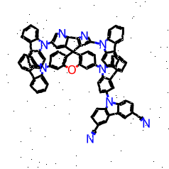 N#Cc1ccc2c(c1)c1cc(C#N)ccc1n2-c1ccc2c(c1)c1ccccc1n2-c1ccc2c(c1)Oc1cc(-n3c4ccccc4c4ccccc43)ccc1C21c2cc(-n3c4ccccc4c4ccccc43)cnc2-c2ncc(-n3c4ccccc4c4ccccc43)cc21